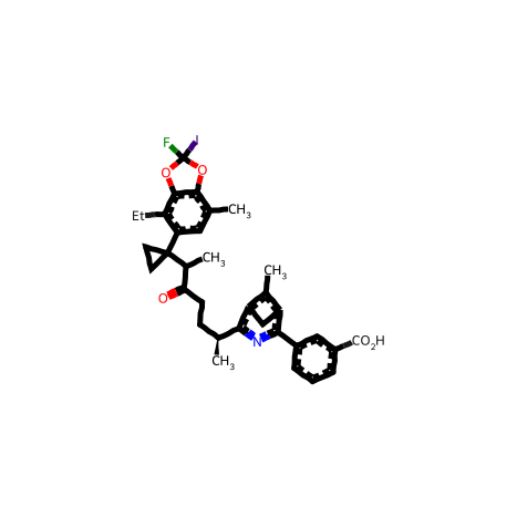 CCc1c(C2(C(C)C(=O)CC[C@H](C)c3nc(-c4cccc(C(=O)O)c4)c4c(C)c3C4)CC2)cc(C)c2c1OC(F)(I)O2